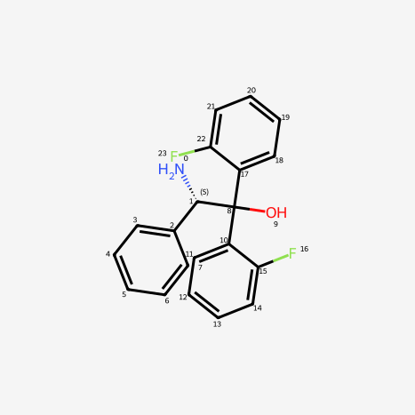 N[C@@H](c1ccccc1)C(O)(c1ccccc1F)c1ccccc1F